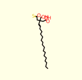 CCCCCCCCCCCCCCCCC=CC(CC=S)(CC(=O)O)C(=O)O